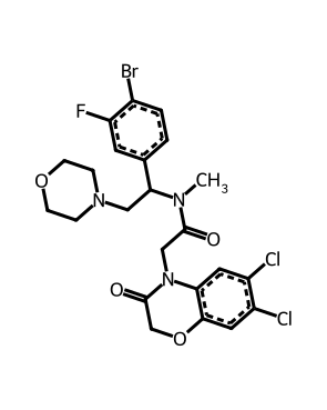 CN(C(=O)CN1C(=O)COc2cc(Cl)c(Cl)cc21)C(CN1CCOCC1)c1ccc(Br)c(F)c1